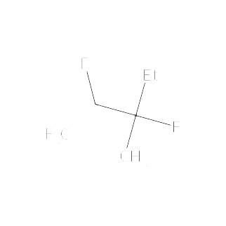 CCC(C)(F)[C@@H](F)C(F)(F)F